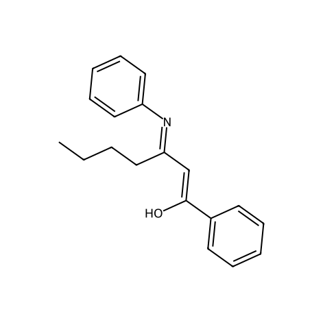 CCCCC(/C=C(\O)c1ccccc1)=N\c1ccccc1